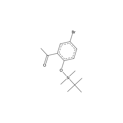 CC(=O)c1cc(Br)ccc1O[Si](C)(C)C(C)(C)C